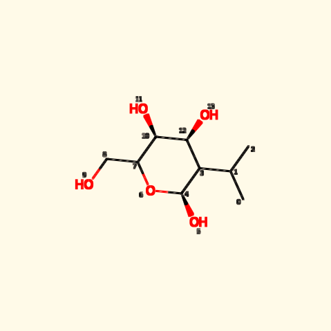 CC(C)C1[C@@H](O)OC(CO)[C@@H](O)[C@H]1O